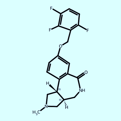 CN1C[C@@H]2CNC(=O)c3cc(OCc4c(F)ccc(F)c4F)ccc3[C@H]2C1